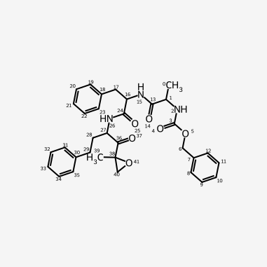 CC(NC(=O)OCc1ccccc1)C(=O)NC(Cc1ccccc1)C(=O)NC(CCc1ccccc1)C(=O)C1(C)CO1